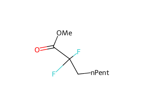 CCCCCCC(F)(F)C(=O)OC